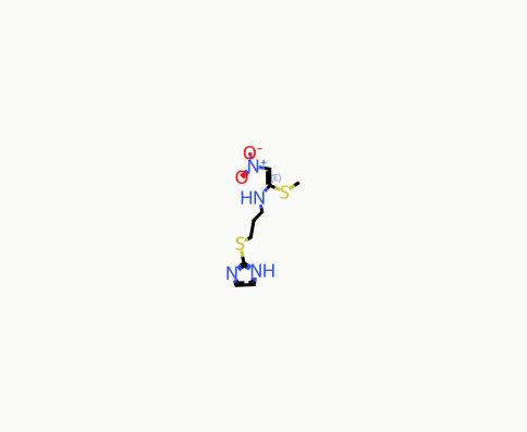 CS/C(=C/[N+](=O)[O-])NCCCSc1ncc[nH]1